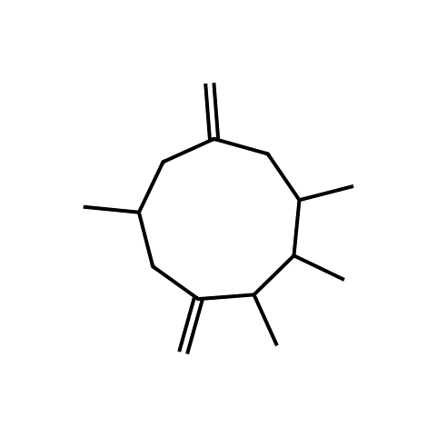 C=C1CC(C)CC(=C)C(C)C(C)C(C)C1